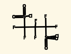 O=S(=O)(Cl)C(F)(F)C(F)(F)C(F)(F)S(=O)(=O)Cl